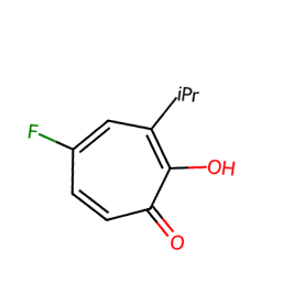 CC(C)c1cc(F)ccc(=O)c1O